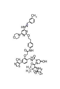 Cc1cccc(/C=N/Nc2cc(N3CCOCC3)nc(OCCc3ccc(NC(=O)COc4cc(-c5scnc5C)ccc4CNC(=O)[C@@H]4C[C@@H](O)CN4C(=O)[C@@H](NC(=O)C4(F)CC4)C(C)(C)C)cc3)n2)c1